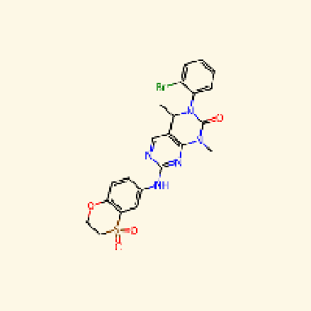 CC1c2cnc(Nc3ccc4c(c3)S(=O)(=O)CCO4)nc2N(C)C(=O)N1c1ccccc1Br